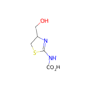 O=C(O)NC1=NC(CO)CS1